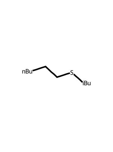 [CH2]CCCCCSC(C)CC